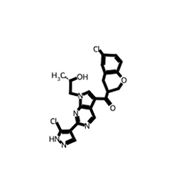 C[C@H](O)Cn1cc(C(=O)C2COc3ccc(Cl)cc3C2)c2cnc(-c3cn[nH]c3Cl)nc21